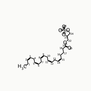 CC/C=C\C/C=C\C/C=C\C/C=C\C/C=C\CCCC(=O)OCC1COS(=O)(=O)O1